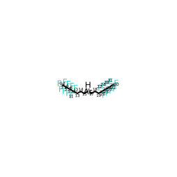 FC(F)(F)C(F)(F)C(F)(F)C(F)(F)CCC[AsH]CCCC(F)(F)C(F)(F)C(F)(F)C(F)(F)F